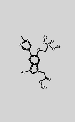 CCOP(=O)(COc1cc2c(cc1-c1cnc(C)nc1)c(C(C)=O)cn2CC(=O)OC(C)(C)C)OCC